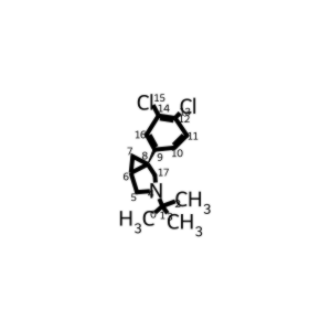 CC(C)(C)N1CC2C[C@]2(c2ccc(Cl)c(Cl)c2)C1